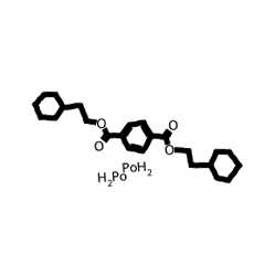 O=C(OCCC1CCCCC1)c1ccc(C(=O)OCCC2CCCCC2)cc1.[PoH2].[PoH2]